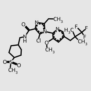 CCc1nc(C(=O)NCC2CCC(S(C)(=O)=O)CC2)c(Cl)n1-c1ncc(CC(C)(C)C(F)(F)F)cc1OC